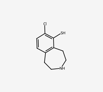 Sc1c(Cl)ccc2c1CCNCC2